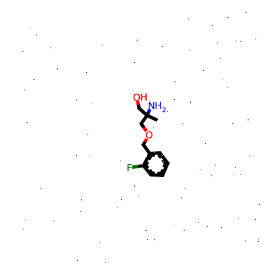 CC(N)(CO)COCc1ccccc1F